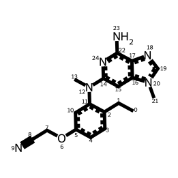 CCc1ccc(OCC#N)cc1N(C)c1cc2c(ncn2C)c(N)n1